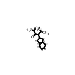 CC(C)C(=O)C(C(C)C)C1Cc2ccccc2C1